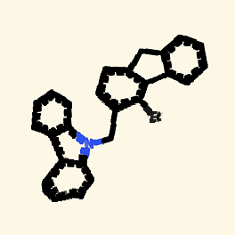 CCc1c(Cn2c3ccccc3c3ccccc32)ccc2c1-c1ccccc1C2